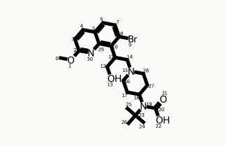 COc1ccc2ccc(Br)c(C(CO)CN3CCC(N(C(=O)O)C(C)(C)C)CC3)c2n1